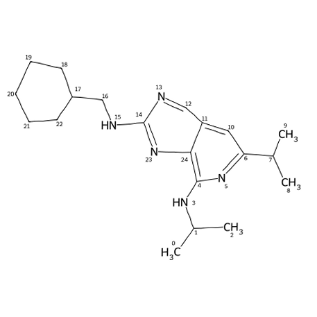 CC(C)Nc1nc(C(C)C)cc2cnc(NCC3CCCCC3)nc12